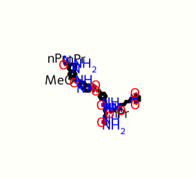 CCCN(CCC)C(=O)C1=Cc2cc(OC)c(C(=O)Nc3cnc4c(c3)CN(C(=O)OCc3ccc(NC(=O)C(CCCNC(N)=O)NC(=O)[C@@H](NC(=O)CCCCCN5C(=O)C=CC5=O)C(C)C)cc3)CC4)cc2N=C(N)C1